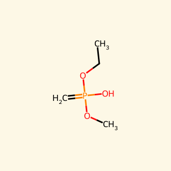 C=P(O)(OC)OCC